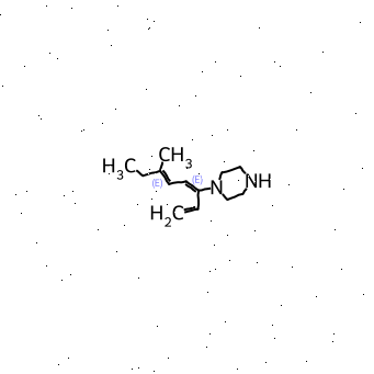 C=C/C(=C\C=C(/C)CC)N1CCNCC1